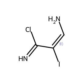 N=C(Cl)/C(I)=C\N